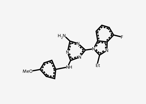 CCc1nc2c(F)cccc2n1-c1nc(N)nc(Nc2ccc(OC)cc2)n1